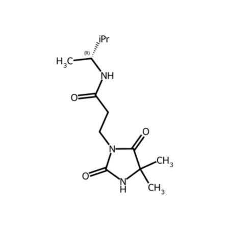 CC(C)[C@@H](C)NC(=O)CCN1C(=O)NC(C)(C)C1=O